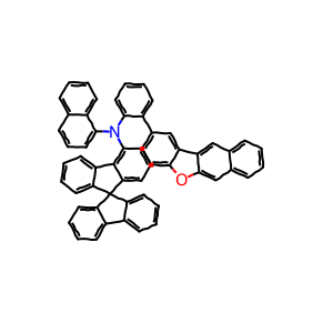 c1ccc(N(c2cccc3c2-c2ccccc2C32c3ccccc3-c3ccccc32)c2cccc3ccccc23)c(-c2ccc3oc4cc5ccccc5cc4c3c2)c1